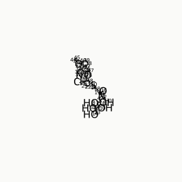 CCCN(C[C@H](O)[C@@H](O)[C@H](O)[C@H](O)CO)C(=O)CCCSc1ccc(Cl)c(COC2(c3cnccc3-c3ccccc3OC3CC3)CC2)c1